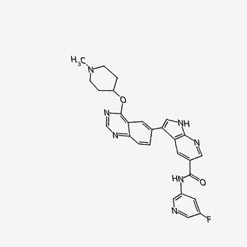 CN1CCC(Oc2ncnc3ccc(-c4c[nH]c5ncc(C(=O)Nc6cncc(F)c6)cc45)cc23)CC1